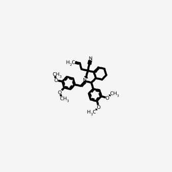 C=CCC(C#N)(C#N)C1=CCCCC1C(C=Cc1ccc(OC)c(OC)c1)c1ccc(OC)c(OC)c1